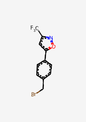 FC(F)(F)c1cc(-c2ccc(CBr)cc2)on1